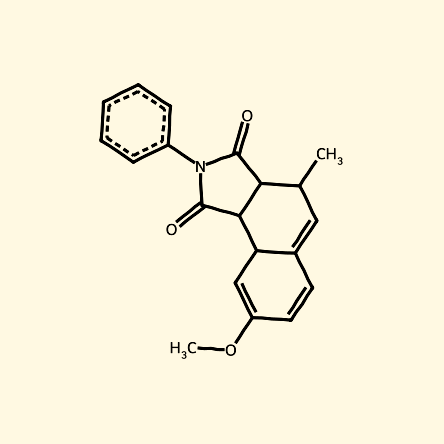 COC1=CC2C(=CC(C)C3C(=O)N(c4ccccc4)C(=O)C23)C=C1